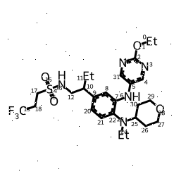 CCOc1ncc(Nc2cc(C(CC)CNS(=O)(=O)CCC(F)(F)F)ccc2N(CC)C2CCOCC2)cn1